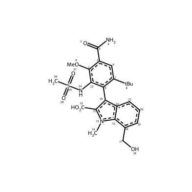 COc1c(C(N)=O)cc(C(C)(C)C)c(-c2c(C(=O)O)n(C)c3c(CO)cccc23)c1NS(C)(=O)=O